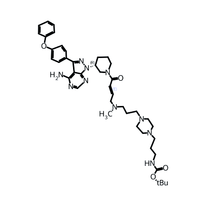 CN(C/C=C/C(=O)N1CCC[C@@H](n2nc(-c3ccc(Oc4ccccc4)cc3)c3c(N)ncnc32)C1)CCCN1CCN(CCCNC(=O)OC(C)(C)C)CC1